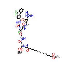 C[C@@H](NC(=O)[C@@H]1C[C@](F)(COCCNC(=O)CC[C@H](NCCC(=O)CCCCCCCCCCCCCCC(=O)OC(C)(C)C)C(=O)OC(C)(C)C)CN1C(=O)CNC(=O)c1ccc2c(c1)-c1ccccc1C2(F)F)c1cc(C(=N)N)cs1